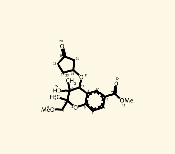 COCC1(C)Oc2ccc(C(=O)OC)cc2C(OC2CCC(=O)C2)C1(C)O